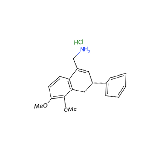 COc1ccc2c(c1OC)CC(c1ccccc1)C=C2CN.Cl